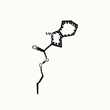 CCCOOC(=O)c1cc2ccccc2[nH]1